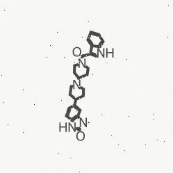 O=C1[N]c2cc(C3CCN(C4CCN(C(=O)c5c[nH]c6ccccc56)CC4)CC3)ccc2N1